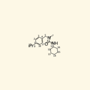 CC(C)c1ccc(CN(C)C(=O)NC2CCCCC2)cc1